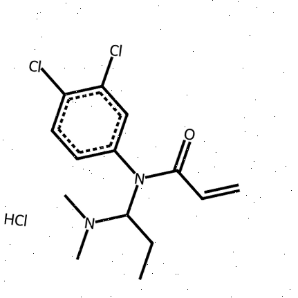 C=CC(=O)N(c1ccc(Cl)c(Cl)c1)C(CC)N(C)C.Cl